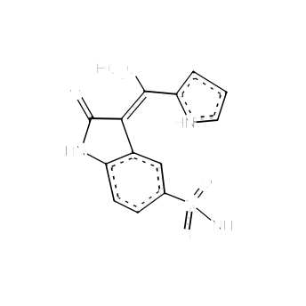 NS(=O)(=O)c1ccc2c(c1)/C(=C(/C(=O)O)c1ccc[nH]1)C(=O)N2